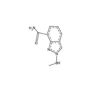 CBn1cc2cccc(C(N)=O)c2n1